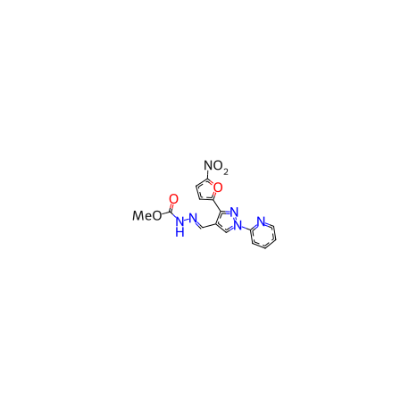 COC(=O)NN=Cc1cn(-c2ccccn2)nc1-c1ccc([N+](=O)[O-])o1